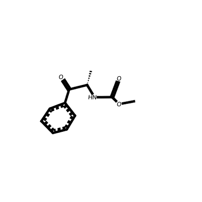 COC(=O)N[C@@H](C)C(=O)c1ccccc1